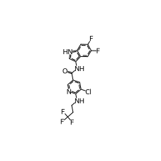 O=C(Nc1c[nH]c2cc(F)c(F)cc12)c1cnc(NCCC(F)(F)F)c(Cl)c1